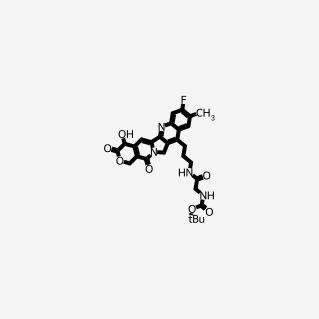 Cc1cc2c(CCCNC(=O)CNC(=O)OC(C)(C)C)c3c(nc2cc1F)-c1cc2c(c(=O)n1C3)COC(=O)C2O